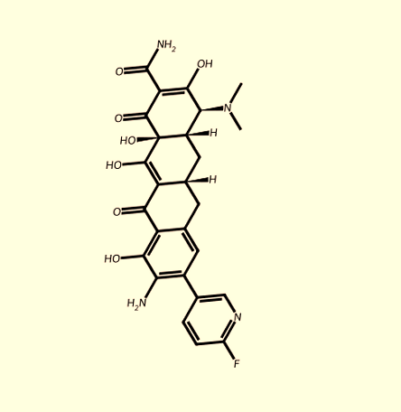 CN(C)[C@@H]1C(O)=C(C(N)=O)C(=O)[C@@]2(O)C(O)=C3C(=O)c4c(cc(-c5ccc(F)nc5)c(N)c4O)C[C@H]3C[C@@H]12